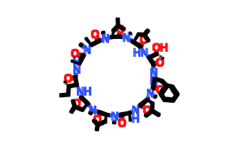 CC[C@H](C)[C@@H]1NC(=O)[C@H](CC(C)C)N(C)C(=O)[C@H](CC(C)C)N(C)C(=O)[C@H](C)NC(=O)[C@H](CC(C)C)N(C)C(=O)C(Cc2ccccc2)NC(=O)C([C@@H](C)O)NC(=O)[C@H](CC(C)C)N(C)C(=O)[C@H](CC(C)C)N(C)C(=O)[C@H](C)N(C)C(=O)[C@H](C)NC1=O